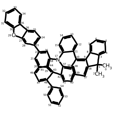 CC1(C)c2ccccc2-c2c(-c3ccccc3N(c3cccc(-c4ccc5c(c4)oc4ccccc45)c3)c3ccccc3-c3ccccc3-c3ccccc3)cccc21